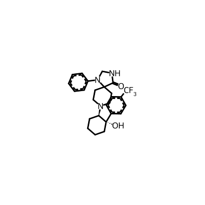 O=C1NCN(c2ccccc2)C12CCN([C@@H]1CCCC[C@]1(O)c1ccc(C(F)(F)F)cc1)CC2